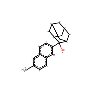 OC1(c2ccc3cc([SiH3])ccc3c2)C2CC3CC(C2)CC1C3